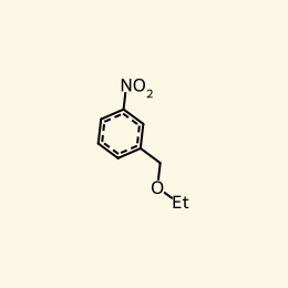 [CH2]COCc1cccc([N+](=O)[O-])c1